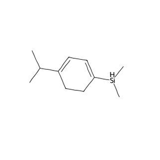 CC(C)C1=CC=C([SiH](C)C)CC1